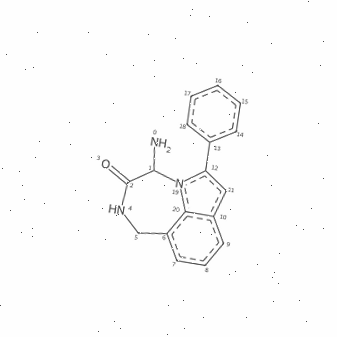 NC1C(=O)NCc2cccc3cc(-c4ccccc4)n1c23